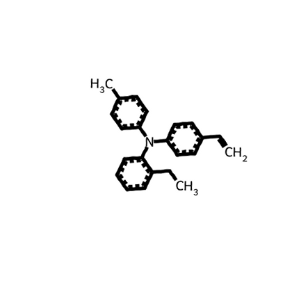 C=Cc1ccc(N(c2ccc(C)cc2)c2ccccc2CC)cc1